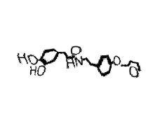 O=C(/C=C/c1ccc(O)c(O)c1)NCCc1ccc(OCC2CCCO2)cc1